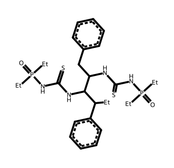 CCC(c1ccccc1)C(NC(=S)NP(=O)(CC)CC)C(Cc1ccccc1)NC(=S)NP(=O)(CC)CC